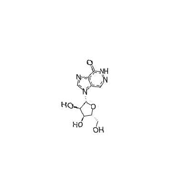 O=c1[nH]ncc2c1ncn2[C@@H]1O[C@H](CO)[C@@H](O)[C@H]1O